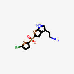 NCCc1c[nH]c2sc(S(=O)(=O)c3ccc(Br)s3)cc12